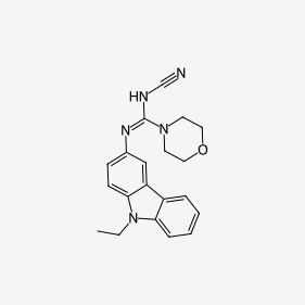 CCn1c2ccccc2c2cc(N=C(NC#N)N3CCOCC3)ccc21